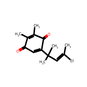 CC/C(C)=C/C(C)(C)C1=CC(=O)C(C)=C(C)C1=O